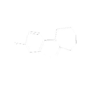 Cc1cc(N)ccc1N1CCCCCC1=O